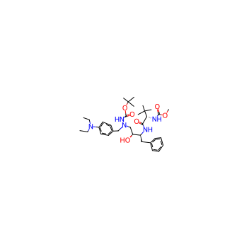 CCN(CC)c1ccc(CN(C[C@H](O)[C@H](Cc2ccccc2)NC(=O)[C@@H](NC(=O)OC)C(C)(C)C)NC(=O)OC(C)(C)C)cc1